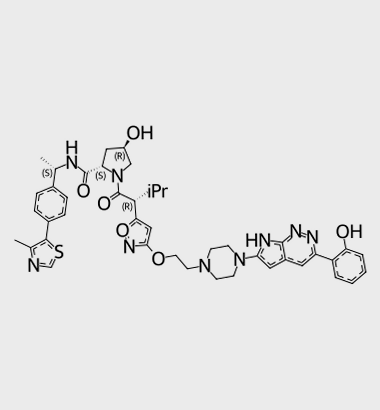 Cc1ncsc1-c1ccc([C@H](C)NC(=O)[C@@H]2C[C@@H](O)CN2C(=O)[C@@H](c2cc(OCCN3CCN(c4cc5cc(-c6ccccc6O)nnc5[nH]4)CC3)no2)C(C)C)cc1